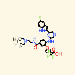 CCN(CC)CCNC(=O)c1ccc(Nc2cncc(-c3cc4cc(F)ccc4[nH]3)n2)c(OC)c1.O=C(O)C(F)(F)F